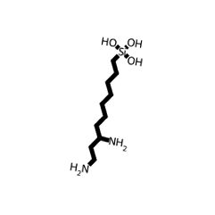 NCCC(N)CCCCCCC[Si](O)(O)O